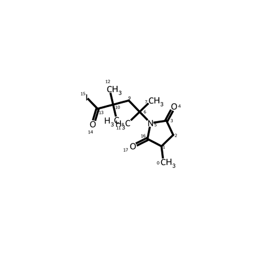 CC1CC(=O)N(C(C)(C)CC(C)(C)C(=O)I)C1=O